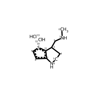 CNCC1CCNc2ccsc21.Cl.Cl